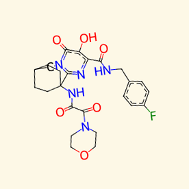 O=C(NC12CCC(CC1)Cn1c2nc(C(=O)NCc2ccc(F)cc2)c(O)c1=O)C(=O)N1CCOCC1